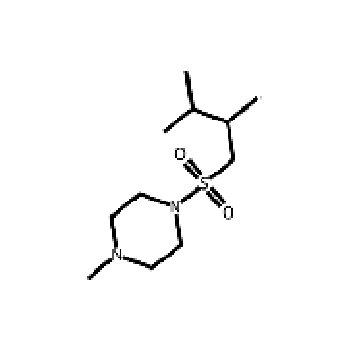 [CH2]C(CS(=O)(=O)N1CCN(C)CC1)C(C)C